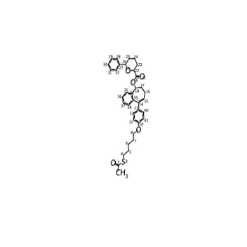 CC(=O)SCCCCCOc1ccc(C2=CCCC(OC(=O)C3CCCC(c4ccccc4)O3)c3ccccc32)cc1